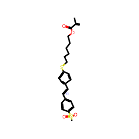 C=C(C)C(=O)OCCCCCCSc1ccc(/C=C/c2ccc(S(C)(=O)=O)cc2)cc1